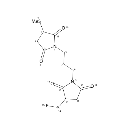 CSC1CC(=O)N(CCCN2C(=O)CC(SF)C2=O)C1=O